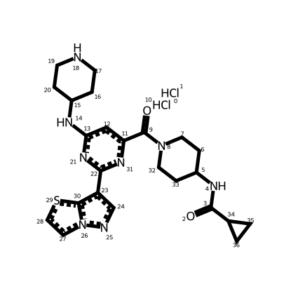 Cl.Cl.O=C(NC1CCN(C(=O)c2cc(NC3CCNCC3)nc(-c3cnn4ccsc34)n2)CC1)C1CC1